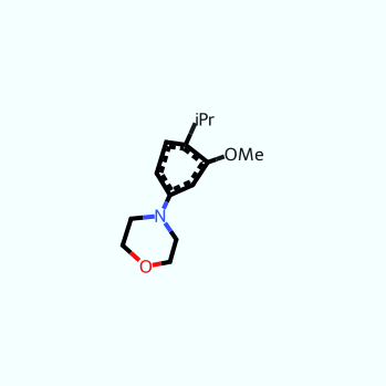 COc1cc(N2CCOCC2)ccc1C(C)C